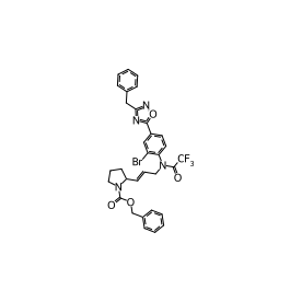 O=C(OCc1ccccc1)N1CCCC1C=CCN(C(=O)C(F)(F)F)c1ccc(-c2nc(Cc3ccccc3)no2)cc1Br